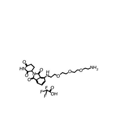 NCCOCCOCCOCCNc1cccc2c1C(=O)N(C1CCC(=O)NC1=O)C2=O.O=C(O)C(F)(F)F